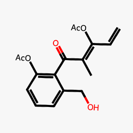 C=C/C(OC(C)=O)=C(\C)C(=O)c1c(CO)cccc1OC(C)=O